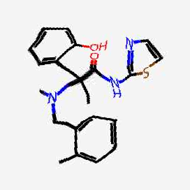 Cc1ccccc1CN(C)C(C)(C(=O)Nc1nccs1)c1ccccc1O